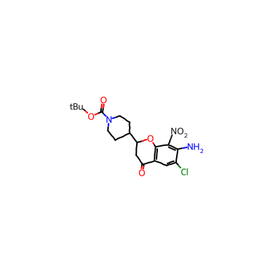 CC(C)(C)OC(=O)N1CCC(C2CC(=O)c3cc(Cl)c(N)c([N+](=O)[O-])c3O2)CC1